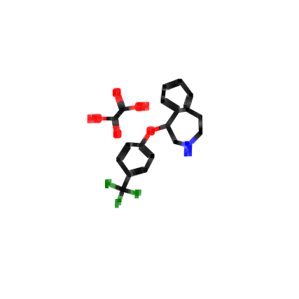 FC(F)(F)c1ccc(OC2CNCCc3ccccc32)cc1.O=C(O)C(=O)O